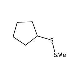 CSSC1CCCC1